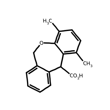 Cc1ccc(C)c2c1OCc1ccccc1C2C(=O)O